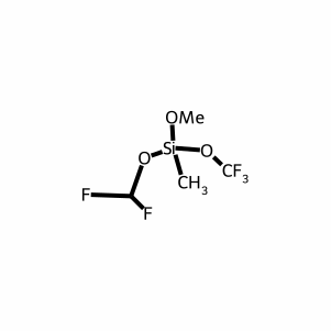 CO[Si](C)(OC(F)F)OC(F)(F)F